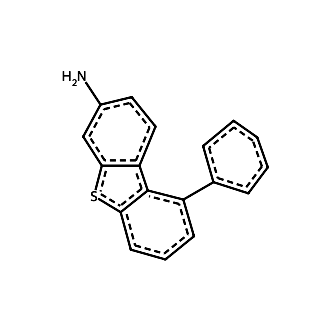 Nc1ccc2c(c1)sc1cccc(-c3ccccc3)c12